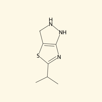 CC(C)c1nc2c(s1)CNN2